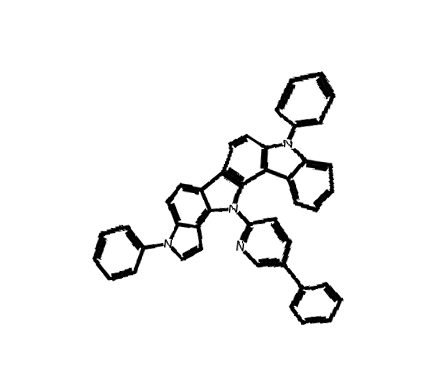 c1ccc(-c2ccc(-n3c4c(ccc5c4ccn5-c4ccccc4)c4ccc5c(c6ccccc6n5-c5ccccc5)c43)nc2)cc1